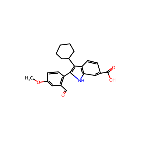 COc1ccc(-c2[nH]c3cc(C(=O)O)ccc3c2C2CCCCC2)c(C=O)c1